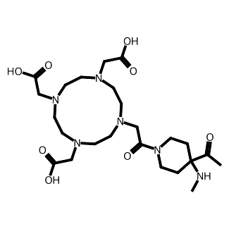 CNC1(C(C)=O)CCN(C(=O)CN2CCN(CC(=O)O)CCN(CC(=O)O)CCN(CC(=O)O)CC2)CC1